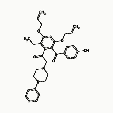 C=CCOc1cc(OCC=C)c(C(=O)c2ccc(O)cc2)c(C(=O)CN2CCN(c3ccccc3)CC2)c1CC